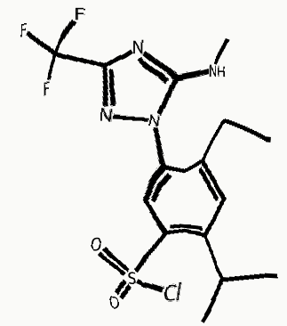 CCc1cc(C(C)C)c(S(=O)(=O)Cl)cc1-n1nc(C(F)(F)F)nc1NC